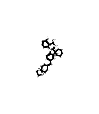 O=c1nc2n(c3cccc(Cl)c13)-c1ccc(C=C3CCC4(CC3)OCCO4)cc1C21CCCCC1